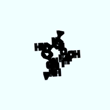 O=C(O)C(F)(F)F.c1cc2[nH]cc(-c3cncc(C4CC4)n3)c2cc1-c1nnc(NC2CC2)o1